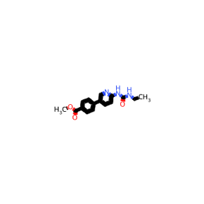 CCNC(=O)Nc1ccc(-c2ccc(C(=O)OC)cc2)cn1